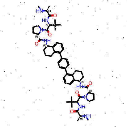 CN[C@@H](C)C(=O)NC(C(=O)N1CCC[C@H]1C(=O)N[C@@H]1CCCc2c(-c3ccc(-c4cccc5c4CCC[C@H]5NC(=O)[C@@H]4CCCN4C(=O)[C@@H](NC(=O)[C@H](C)NC)C(C)(C)C)cc3)cccc21)C(C)(C)C